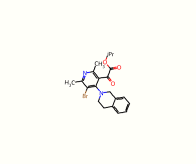 Cc1nc(C)c(C(=O)C(=O)OC(C)C)c(N2CCc3ccccc3C2)c1Br